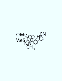 COC=C(C(=O)O)c1c(Oc2cccc(-c3cccc(C#N)c3)c2)nc(C)nc1SC